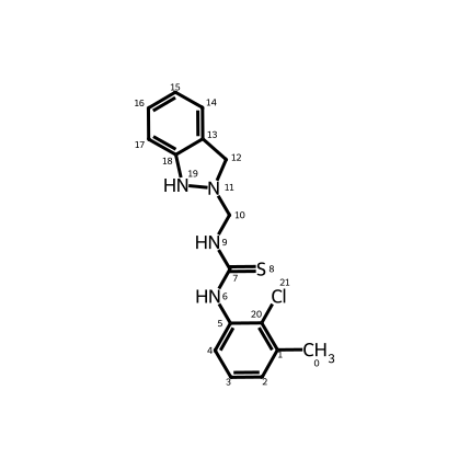 Cc1cccc(NC(=S)NCN2Cc3ccccc3N2)c1Cl